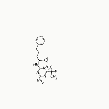 CC(C)(F)c1nc(N)nc(N[C@@H](CCCc2ccccc2)C2CC2)n1